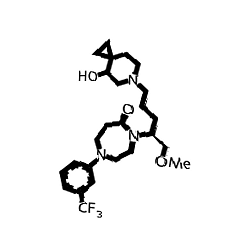 COC[C@H](CCCN1CCC2(CC2)C(O)C1)N1CCN(c2cccc(C(F)(F)F)c2)CCC1=O